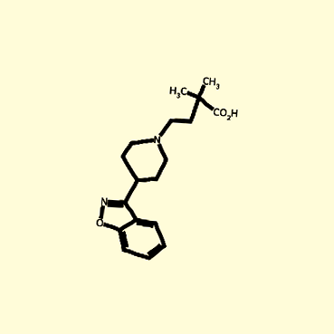 CC(C)(CCN1CCC(c2noc3ccccc23)CC1)C(=O)O